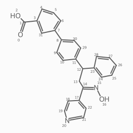 O=C(O)c1cccc(-c2ccc(C(CC(=NO)c3ccncc3)c3ccccc3)cc2)c1